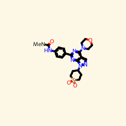 CNC(=O)Nc1ccc(-c2nc(N3CCOCC3)c3cnn(C4CCS(=O)(=O)CC4)c3n2)cc1